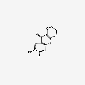 O=c1c2c(oc3cc(F)c(Br)cc13)CCCO2